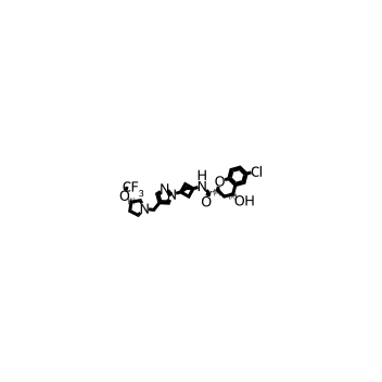 O=C(NC12CC(n3cc(CN4CC[C@H](OC(F)(F)F)C4)cn3)(C1)C2)[C@H]1C[C@@H](O)c2cc(Cl)ccc2O1